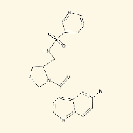 O=C(c1ccnc2ccc(Br)cc12)N1CCCC1CNS(=O)(=O)c1cccnc1